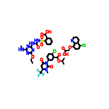 CC(C)OC(=O)c1cc(-n2c(=O)cc(C(F)(F)F)n(C)c2=O)ccc1Cl.CCOc1nc(NC)nc(NC(=O)NS(=O)(=O)c2ccccc2C(=O)O)n1.O=C(O)COc1ccc(Cl)c2cccnc12